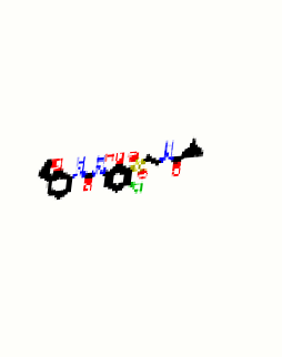 O=C(Nc1ccc(Cl)c(S(=O)(=O)CCNC(=O)C2CC2)c1O)N[C@H]1CCCc2ccoc21